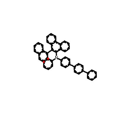 c1ccc(-c2ccc(-c3ccc(N(c4ccccc4)c4c(-c5cccc6ccccc56)c5ccccc5c5ccccc45)cc3)cc2)cc1